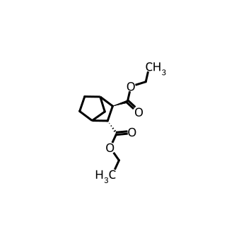 CCOC(=O)[C@@H]1C2CCC(C2)[C@H]1C(=O)OCC